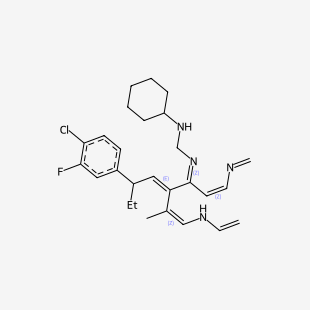 C=CN\C=C(C)/C(=C\C(CC)c1ccc(Cl)c(F)c1)C(/C=C\N=C)=N\CNC1CCCCC1